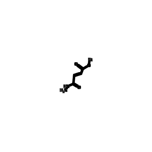 CCOC(=O)C=CC(=O)NN